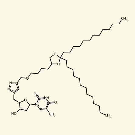 CCCCCCCCCCCCCC1(CCCCCCCCCCCCC)OCC(CCCCOCc2cn(C[C@H]3O[C@@H](n4cc(C)c(=O)[nH]c4=O)CC3O)nn2)O1